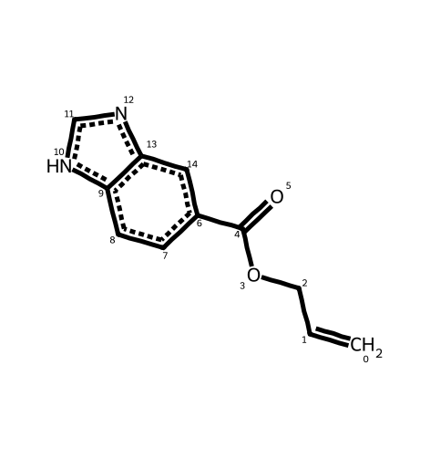 C=CCOC(=O)c1ccc2[nH]cnc2c1